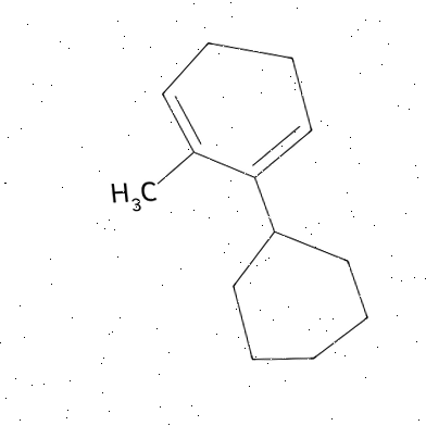 CC1=CCCC=C1C1CCCCC1